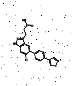 O=C(O)CCc1n[nH]c2cc(Cl)c(-c3ccc(-c4cnsc4)cc3)cc12